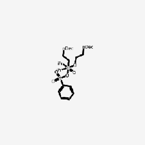 CCCCCCCCCCCC[O][Ti](=[O])([CH2]CCCCCCCCCCC)([O]S(=O)(=O)c1ccccc1)([CH](C)C)[CH](C)C